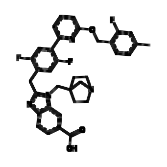 Cc1ccc(COc2cccc(-c3cc(F)c(Cc4nc5ccc(C(=O)O)cc5n4CC45CCN(CC4)C5)cc3F)n2)c(F)c1